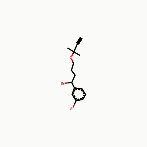 C#CC(C)(C)OCCCC(Br)c1cccc(Br)c1